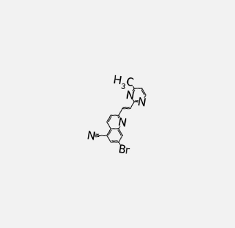 Cc1ccnc(C=Cc2ccc3c(C#N)cc(Br)cc3n2)n1